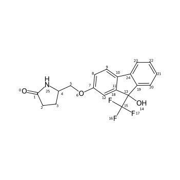 O=C1CCC(COc2ccc3c(c2)C(O)(C(F)(F)F)c2ccccc2-3)N1